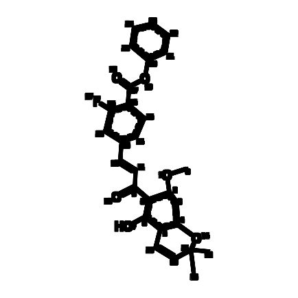 COc1cc2c(c(O)c1C(=O)/C=C/c1ccc(C(=O)Oc3ccccc3)c(F)c1)C=CC(C)(C)O2